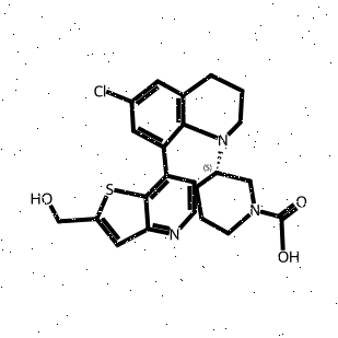 O=C(O)N1CCC[C@H](N2CCCc3cc(Cl)cc(-c4ccnc5cc(CO)sc45)c32)C1